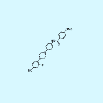 COc1ccc(C(=O)Nc2ccc(N3CCN(c4ccc(C#N)cc4F)CC3)cc2)cc1